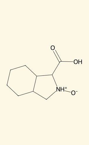 O=C(O)C1C2CCCCC2C[NH+]1[O-]